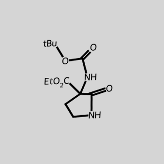 CCOC(=O)C1(NC(=O)OC(C)(C)C)CCNC1=O